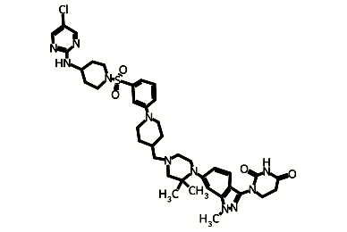 Cn1nc(N2CCC(=O)NC2=O)c2ccc(N3CCN(CC4CCN(c5cccc(S(=O)(=O)N6CCC(Nc7ncc(Cl)cn7)CC6)c5)CC4)CC3(C)C)cc21